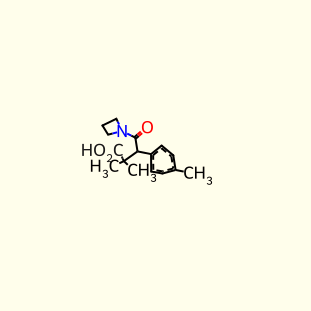 Cc1ccc(C(C(=O)N2CCC2)C(C)(C)C(=O)O)cc1